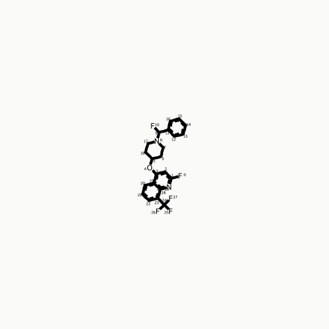 Fc1cc(OC2CCN(C(F)c3ccccc3)CC2)c2cccc(C(F)(F)F)c2n1